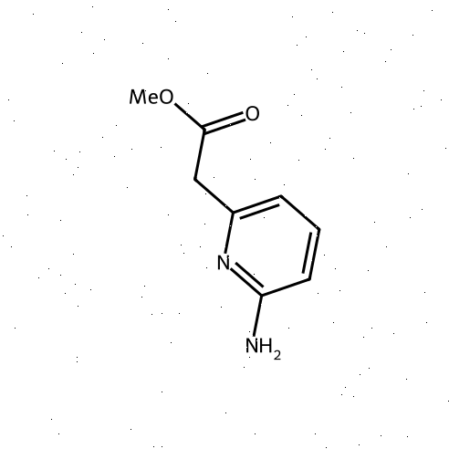 COC(=O)Cc1cccc(N)n1